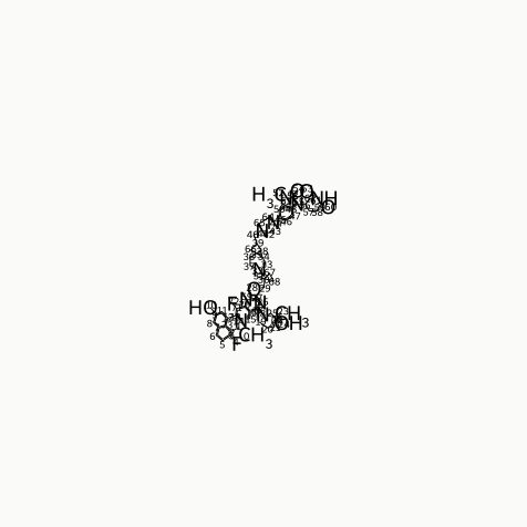 CCc1c(F)ccc2cc(O)cc(-c3ncc4c(N5CCC[C@@](C)(O)C5)nc(OCC5(CN6CCC7(CC6)CC(CN6CCN(c8ccc9c(c8)n(C)c(=O)n9C8CCC(=O)NC8=O)CC6)C7)CC5)nc4c3F)c12